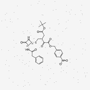 CC(C)(C)OC(=O)CC(CS[C@H]1NC(=O)[C@H]1NC(=O)Cc1ccccc1)C(=O)C(=O)OCc1ccc([N+](=O)[O-])cc1